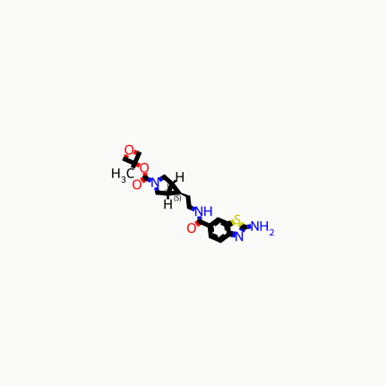 CC1(OC(=O)N2C[C@@H]3[C@@H](CCNC(=O)c4ccc5nc(N)sc5c4)[C@@H]3C2)COC1